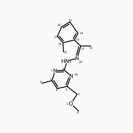 COCc1cc(C)nc(NN=C(C)c2ccccc2C)n1